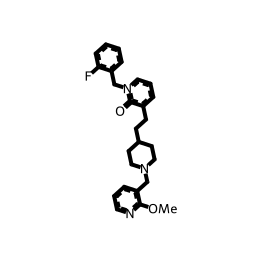 COc1ncccc1CN1CCC(CCc2cccn(Cc3ccccc3F)c2=O)CC1